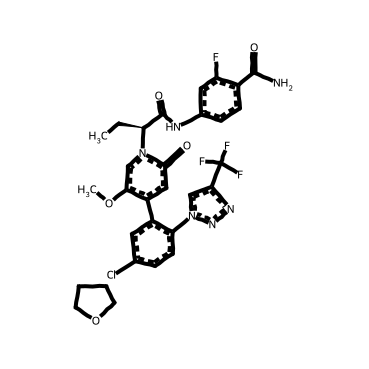 C1CCOC1.CC[C@@H](C(=O)Nc1ccc(C(N)=O)c(F)c1)n1cc(OC)c(-c2cc(Cl)ccc2-n2cc(C(F)(F)F)nn2)cc1=O